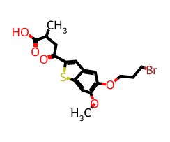 COc1cc2sc(C(=O)CC(C)C(=O)O)cc2cc1OCCCBr